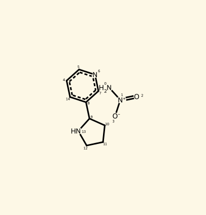 N[N+](=O)[O-].c1cncc(C2CCCN2)c1